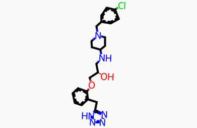 O[C@@H](CNC1CCN(Cc2ccc(Cl)cc2)CC1)COc1ccccc1Cc1nnn[nH]1